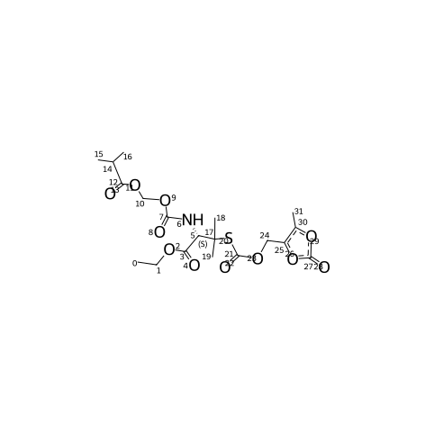 CCOC(=O)[C@H](NC(=O)OCOC(=O)C(C)C)C(C)(C)SC(=O)OCc1oc(=O)oc1C